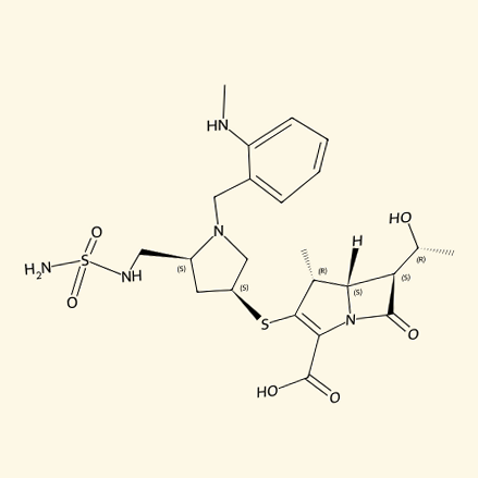 CNc1ccccc1CN1C[C@@H](SC2=C(C(=O)O)N3C(=O)[C@H]([C@@H](C)O)[C@H]3[C@H]2C)C[C@H]1CNS(N)(=O)=O